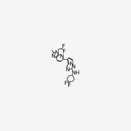 Cc1nc2ccc(-c3ccn4nc(NC5CCC(F)(F)CC5)ncc34)nc2n1CC(F)F